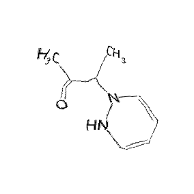 CC(=O)C(C)N1C=CC=CN1